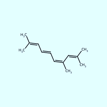 CC(C)=CC=CC=C(C)C=C(C)C